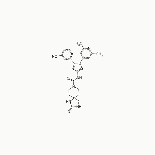 Cc1cc(-c2sc(NC(=O)N3CCC4(CC3)CNC(=O)N4)nc2-c2cccc(C#N)c2)cc(C)n1